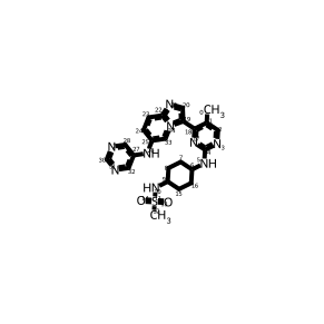 Cc1cnc(NC2CCC(NS(C)(=O)=O)CC2)nc1-c1cnc2ccc(Nc3cncnc3)cn12